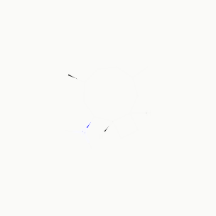 CC1CC[C@H](C)C[C@H](N(C)C)[C@H]2CC[C@@H]2C1